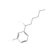 CCCCCC(O)c1cccc(O)c1